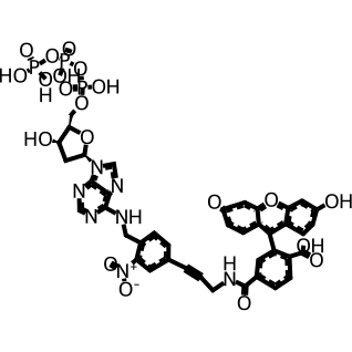 O=C(NCC#Cc1ccc(CNc2ncnc3c2ncn3[C@H]2C[C@@H](O)[C@@H](COP(=O)(O)OP(=O)(O)OP(=O)(O)O)O2)c([N+](=O)[O-])c1)c1ccc(C(=O)O)c(-c2c3ccc(=O)cc-3oc3cc(O)ccc23)c1